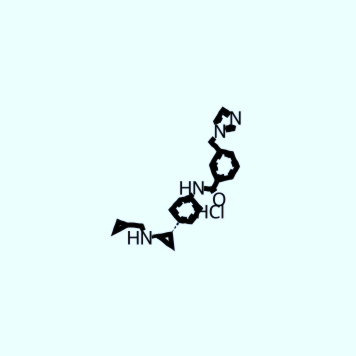 Cl.O=C(Nc1ccc([C@@H]2C[C@H]2NCC2CC2)cc1)c1cccc(Cn2ccnc2)c1